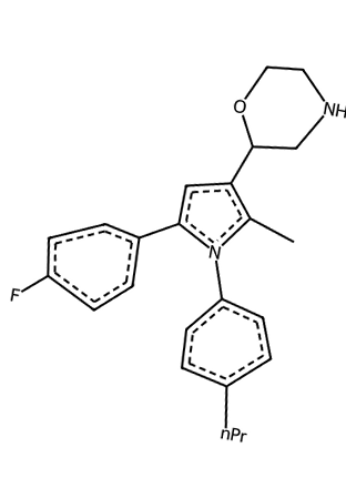 CCCc1ccc(-n2c(-c3ccc(F)cc3)cc(C3CNCCO3)c2C)cc1